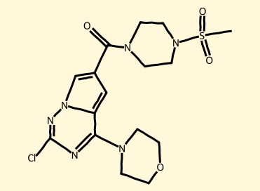 CS(=O)(=O)N1CCN(C(=O)c2cc3c(N4CCOCC4)nc(Cl)nn3c2)CC1